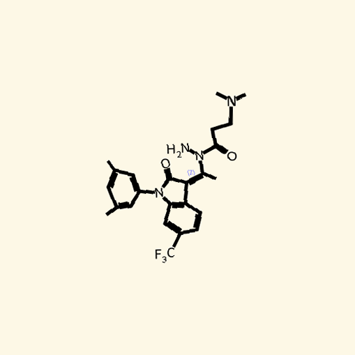 C/C(=C1/C(=O)N(c2cc(C)cc(C)c2)c2cc(C(F)(F)F)ccc21)N(N)C(=O)CCN(C)C